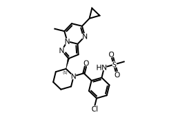 Cc1cc(C2CC2)nc2cc([C@@H]3CCCCN3C(=O)c3cc(Cl)ccc3NS(C)(=O)=O)nn12